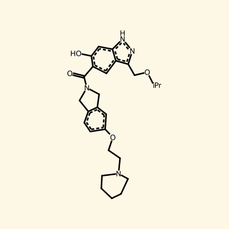 CC(C)OCc1n[nH]c2cc(O)c(C(=O)N3Cc4ccc(OCCN5CCCCC5)cc4C3)cc12